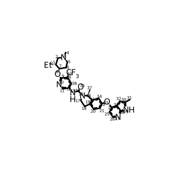 CC[C@@H]1CN(C)CC[C@H]1Oc1ncc(NC(=O)N2CCc3ccc(Oc4ccnc5[nH]c(C)cc45)cc3[C@@H]2C)cc1C(F)(F)F